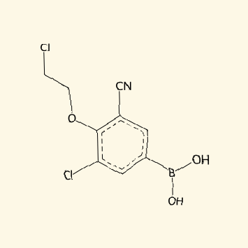 N#Cc1cc(B(O)O)cc(Cl)c1OCCCl